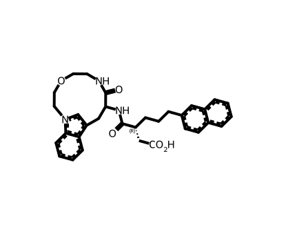 O=C(O)C[C@@H](CCCc1ccc2ccccc2c1)C(=O)NC1Cc2cn(c3ccccc23)CCOCCNC1=O